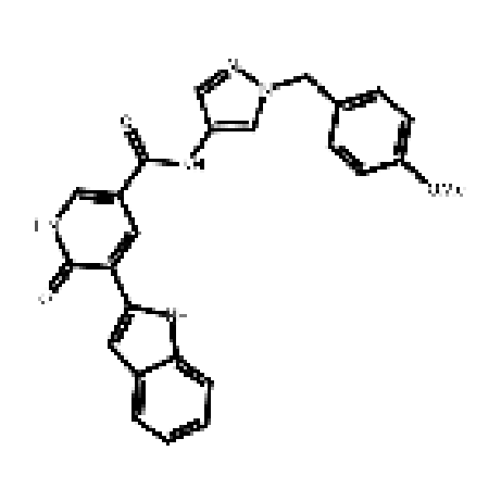 COc1ccc(Cn2cc(NC(=O)c3c[nH]c(=O)c(-c4cc5ccccc5[nH]4)c3)cn2)cc1